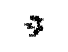 COc1ccc(CC2C=CCCN2CCCc2c[nH]c3ccc(-n4cnnc4)cc23)cc1.O=C(O)C(=O)O